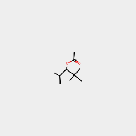 CC(=O)O[C@@H](C(C)C)C(C)(C)C